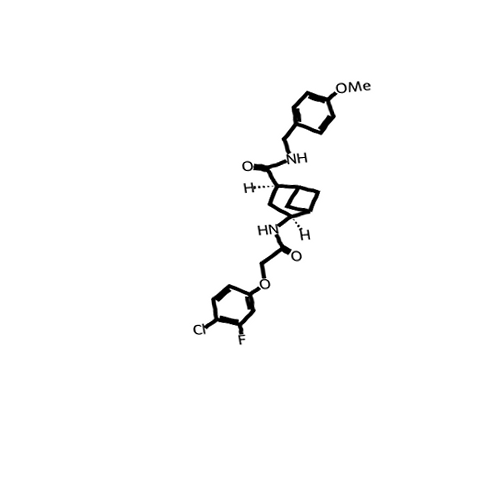 COc1ccc(CNC(=O)[C@@H]2C[C@H](NC(=O)COc3ccc(Cl)c(F)c3)C3CC2C3)cc1